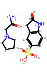 NC(=O)CN1CCCC1.O=C1Cc2cc(S(=O)(=O)O)ccc2N1